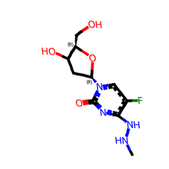 CNNc1nc(=O)n([C@H]2CC(O)[C@@H](CO)O2)cc1F